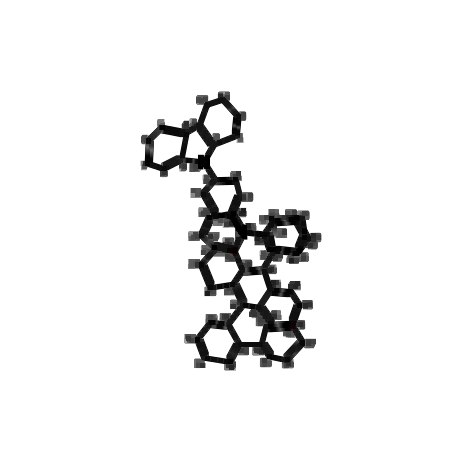 C1=Cc2c(c3ccccc3n2-c2ccc(N(c3ccccc3)c3cccc4c(-c5ccccc5-c5ccccc5)c5ccccc5c(-c5ccccc5-c5ccccc5)c34)cc2)CC1